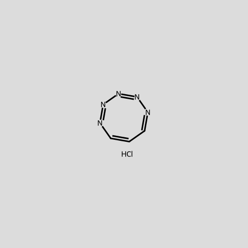 C1=CN=NN=NN=C1.Cl